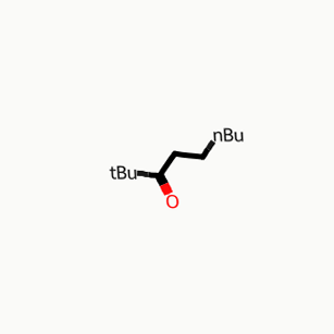 [CH2]CCCCCC(=O)C(C)(C)C